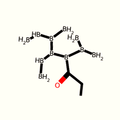 BBB(B)B(BB)B(B(B)B)C(=O)CC